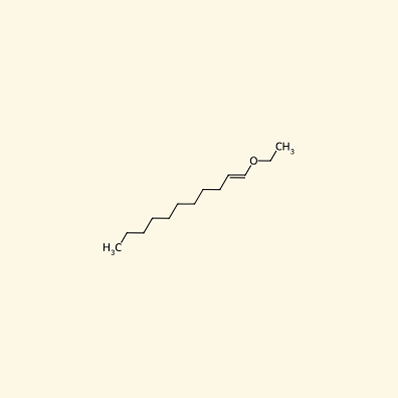 CCCCCCCCCC=COCC